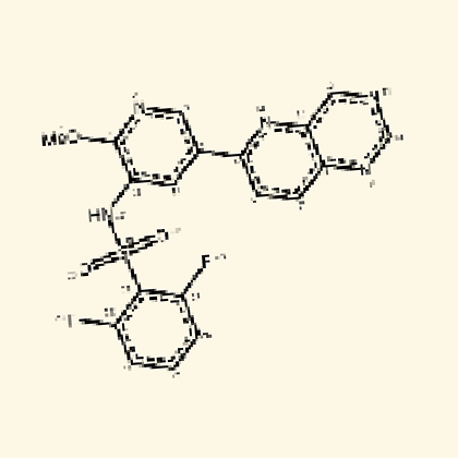 COc1ncc(-c2ccc3ncncc3n2)cc1NS(=O)(=O)c1c(F)cccc1F